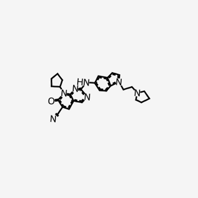 N#Cc1cc2cnc(Nc3ccc4c(ccn4CCN4CCCC4)c3)nc2n(C2CCCC2)c1=O